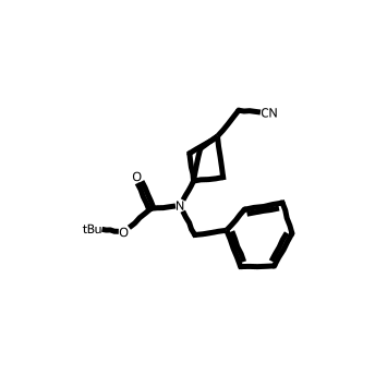 CC(C)(C)OC(=O)N(Cc1ccccc1)C12CC(CC#N)(C1)C2